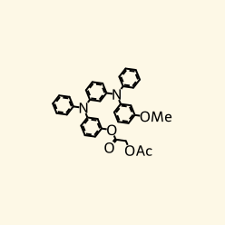 COc1cccc(N(c2ccccc2)c2cccc(N(c3ccccc3)c3cccc(OC(=O)COC(C)=O)c3)c2)c1